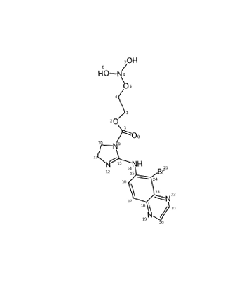 O=C(OCCON(O)O)N1CCN=C1Nc1ccc2nccnc2c1Br